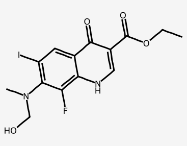 CCOC(=O)c1c[nH]c2c(F)c(N(C)CO)c(I)cc2c1=O